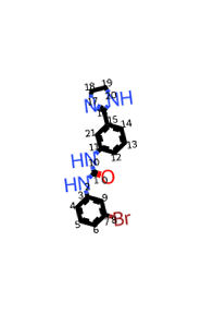 O=C(Nc1cccc(Br)c1)Nc1cccc(C2=NCCN2)c1